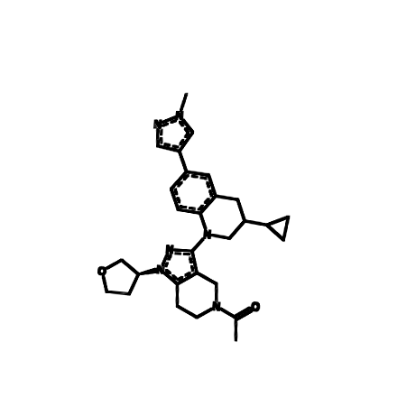 CC(=O)N1CCc2c(c(N3CC(C4CC4)Cc4cc(-c5cnn(C)c5)ccc43)nn2[C@H]2CCOC2)C1